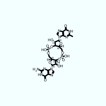 Cc1nc2c(ncn2[C@@H]2O[C@@H]3COP(=O)(O)O[C@@H]4C(O)[C@H](n5cnc6c(=O)[nH]c(N)nc65)O[C@@H]4COP(=O)(O)OC3[C@@H]2O)c(=O)[nH]1